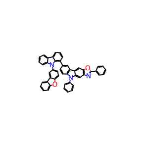 c1ccc(-c2nc3cc4c(cc3o2)c2cc(-c3cccc5c6ccccc6n(-c6ccc7oc8ccccc8c7c6)c35)ccc2n4-c2ccccc2)cc1